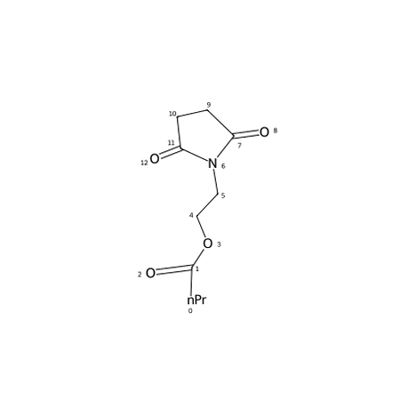 CCCC(=O)OCCN1C(=O)CCC1=O